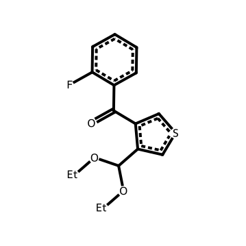 CCOC(OCC)c1cscc1C(=O)c1ccccc1F